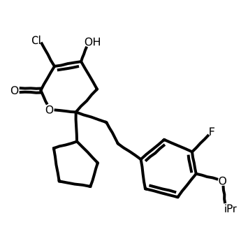 CC(C)Oc1ccc(CCC2(C3CCCC3)CC(O)=C(Cl)C(=O)O2)cc1F